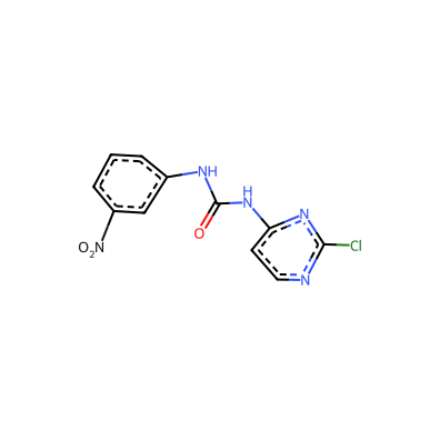 O=C(Nc1cccc([N+](=O)[O-])c1)Nc1ccnc(Cl)n1